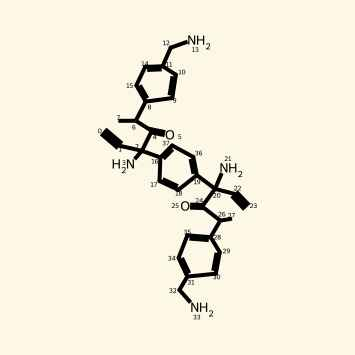 C#CC(N)(C(=O)C(C)c1ccc(CN)cc1)c1ccc(C(N)(C#C)C(=O)C(C)c2ccc(CN)cc2)cc1